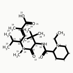 CCN1CCCCC1C(=O)NC(C(=O)N(C)C(/C=C(\C)C(=O)O)C(C)C)C(C)(C)C